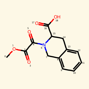 COC(=O)C(=O)N1Cc2ccccc2CC1C(=O)O